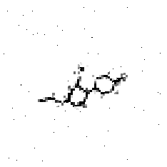 CCOC1=CC(=C=O)C(C2CCC(=O)CC2)C=C1